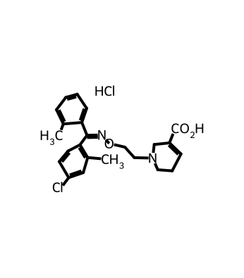 Cc1ccccc1/C(=N/OCCN1CCC=C(C(=O)O)C1)c1ccc(Cl)cc1C.Cl